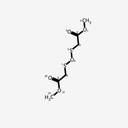 COC(=O)CSOSCC(=O)OC